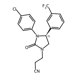 N#CCCN1C[C@H](c2cccc(C(F)(F)F)c2)N(c2ccc(Cl)cc2)C1=O